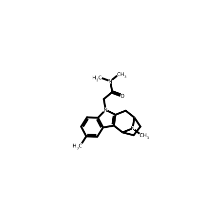 Cc1ccc2c(c1)c1c(n2CC(=O)N(C)C)CC2CCC1N2C